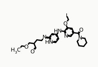 CCOCC(C=O)CC/N=c1/cc(Nc2ncc(C(=O)N3CCCCC3)cc2OCI)cc[nH]1